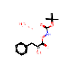 CC(C)(C)OC(=O)NOC(=O)[C@H](O)Cc1ccccc1.O.O